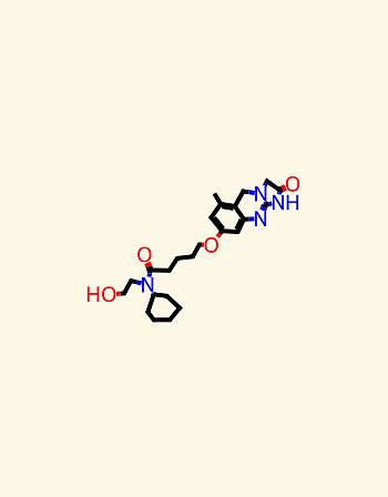 Cc1cc(OCCCCC(=O)N(CCO)C2CCCCC2)cc2c1CN1CC(=O)NC1=N2